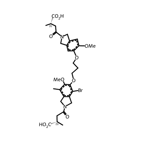 COc1cc2c(cc1OCCCOc1c(Br)c3c(c(C)c1OC)CN(C(=O)C[C@H](C)C(=O)O)C3)CN(C(=O)C[C@H](C)C(=O)O)C2